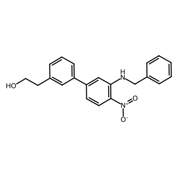 O=[N+]([O-])c1ccc(-c2cccc(CCO)c2)cc1NCc1ccccc1